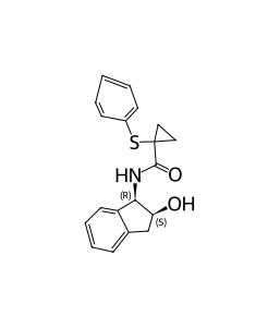 O=C(N[C@@H]1c2ccccc2C[C@@H]1O)C1(Sc2ccccc2)CC1